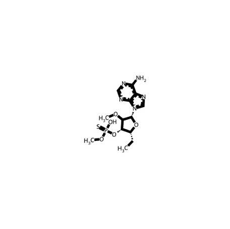 CC[C@H]1O[C@@H](n2cnc3c(N)ncnc32)C(OC)[C@H]1OP(O)(=S)OC